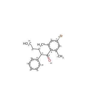 Cc1cc(Br)cc(C)c1C(=O)C(CCC(=O)O)c1ccccc1